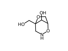 OCC12CNOC(CO1)C2O